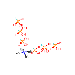 CCCC[N+](CCCC)(CCCC)CCCC.O=P(O)(O)F.O=P(O)(O)F.O=P(O)(O)F.O=P(O)(O)F.O=P(O)(O)F.O=P(O)(O)F